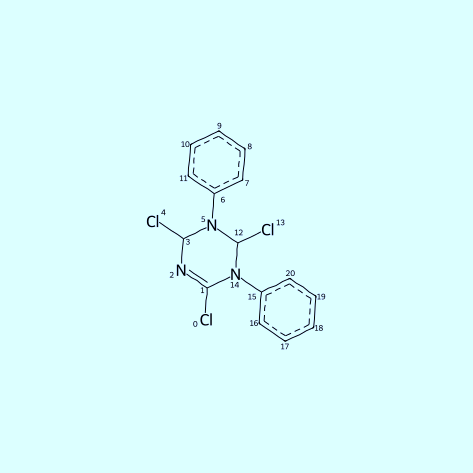 ClC1=NC(Cl)N(c2ccccc2)C(Cl)N1c1ccccc1